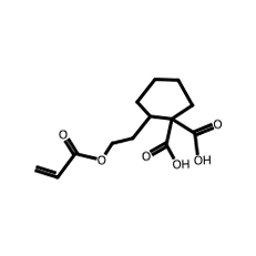 C=CC(=O)OCCC1CCCCC1(C(=O)O)C(=O)O